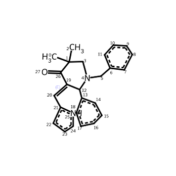 CC1(C)CN(Cc2ccccc2)C(c2ccccc2)/C(=C\c2ccc[nH]2)C1=O